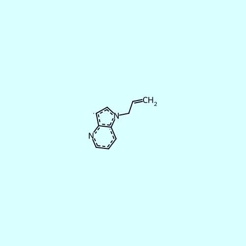 C=CCn1c[c]c2ncccc21